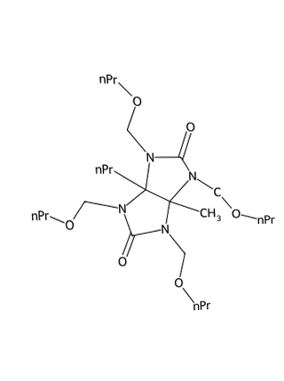 CCCOCN1C(=O)N(COCCC)C2(CCC)N(COCCC)C(=O)N(COCCC)C12C